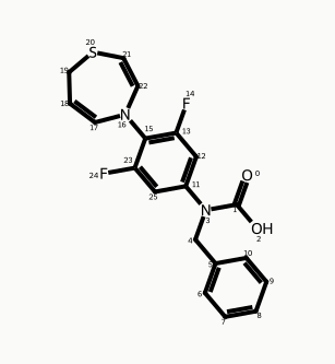 O=C(O)N(Cc1ccccc1)c1cc(F)c(N2C=CCSC=C2)c(F)c1